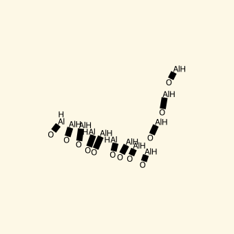 [O]=[AlH].[O]=[AlH].[O]=[AlH].[O]=[AlH].[O]=[AlH].[O]=[AlH].[O]=[AlH].[O]=[AlH].[O]=[AlH].[O]=[AlH].[O]=[AlH].[O]=[AlH]